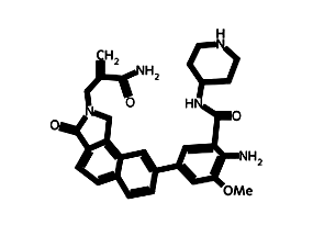 C=C(CN1Cc2c(ccc3ccc(-c4cc(OC)c(N)c(C(=O)NC5CCNCC5)c4)cc23)C1=O)C(N)=O